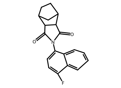 O=C1C2C3CCC(C3)C2C(=O)N1c1ccc(F)c2ccccc12